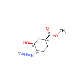 COC(=O)[C@H]1CC[C@H](N=[N+]=[N-])[C@@H](O)C1